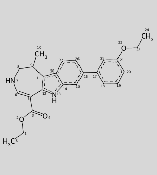 CCOC(=O)C1=CNCC(C)c2c1[nH]c1cc(-c3cccc(OCC)c3)ccc21